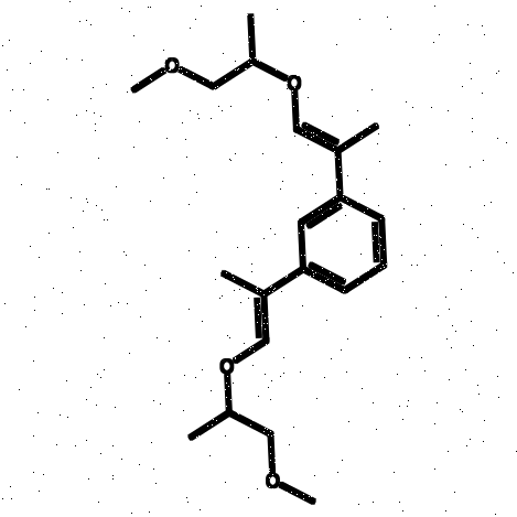 COCC(C)OC=C(C)c1cccc(C(C)=COC(C)COC)c1